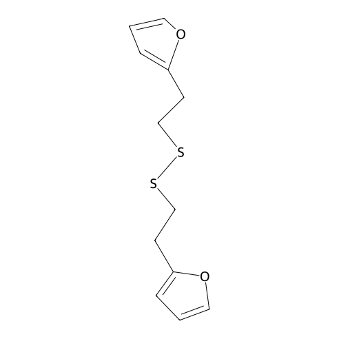 c1coc(CCSSCCc2ccco2)c1